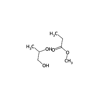 CC(O)CO.CCC(=O)OC